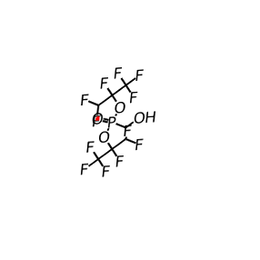 O=P(CO)(OC(F)(C(F)F)C(F)(F)F)OC(F)(C(F)F)C(F)(F)F